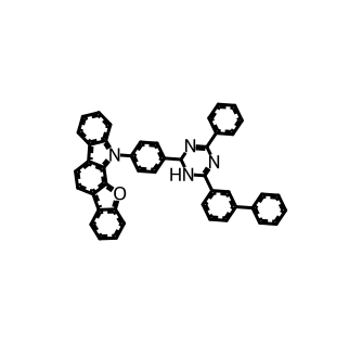 c1ccc(C2=NC(c3ccc(-n4c5ccccc5c5ccc6c7ccccc7oc6c54)cc3)NC(c3cccc(-c4ccccc4)c3)=N2)cc1